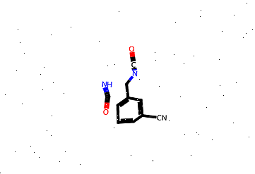 N#Cc1cccc(CN=C=O)c1.N=C=O